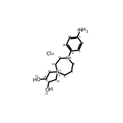 Nc1ccc(N2CCC[N+](CCO)(CCO)CC2)cc1.[Cl-]